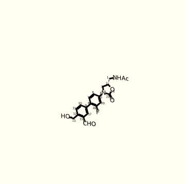 CC(=O)NC[C@H]1CN(c2ccc(-c3ccc(CO)c(C=O)c3)c(F)c2)C(=O)O1